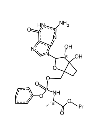 CC(C)OC(=O)[C@H](C)NP(=O)(OCC12CCC1(O)[C@@H](O)C(n1cnc3c(=O)[nH]c(N)nc31)O2)Oc1ccccc1